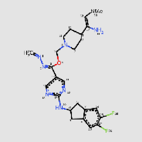 C=N/N=C(\OCN1CCC(/C(N)=C/NC)CC1)c1cnc(NC2Cc3cc(F)c(F)cc3C2)nc1